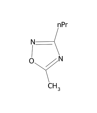 CCCc1noc(C)n1